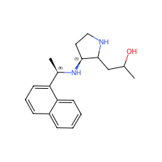 CC(O)CC1NCC[C@@H]1N[C@H](C)c1cccc2ccccc12